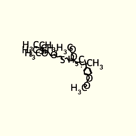 CCC(C)([CH]CCC(CCSCCOCCO[Si](C)(C)C(C)(C)C)OCOC)c1ccc(OCOC)cc1